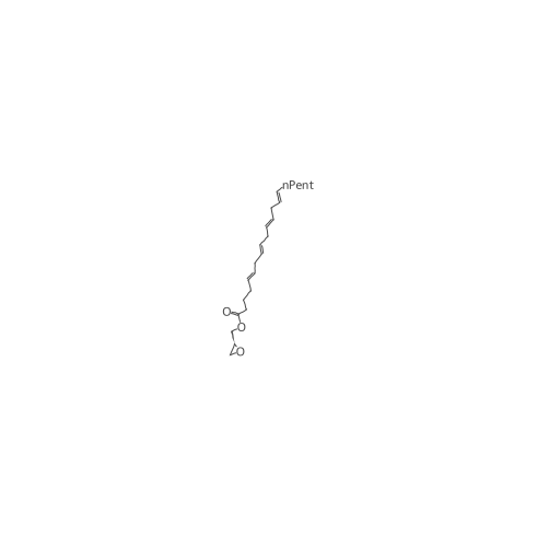 CCCCCC=CCC=CCC=CCC=CCCCC(=O)OC[C@@H]1CO1